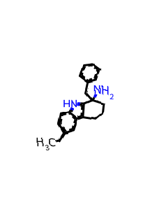 CCc1ccc2[nH]c3c(c2c1)CCCC3(N)Cc1ccccc1